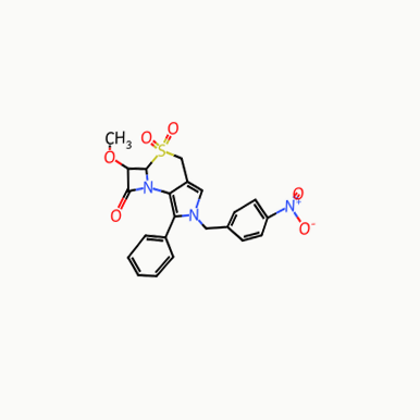 COC1C(=O)N2c3c(cn(Cc4ccc([N+](=O)[O-])cc4)c3-c3ccccc3)CS(=O)(=O)C12